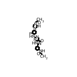 C=CC(=O)Nc1cccc(-c2nc(=O)c3cnc(Nc4ccc(N5CCN(C[C@@H](C)O)CC5)cc4F)nc3[nH]2)c1